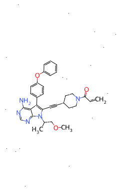 C=CC(=O)N1CCC(C#Cc2c(-c3ccc(Oc4ccccc4)cc3)c3c(N)ncnc3n2C(C)COC)CC1